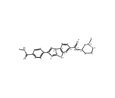 CNC(=O)c1ccc(-c2cn3c(n2)sc2cc(C(=O)N[C@@H]4CCCN(C)C4)ccc23)cc1